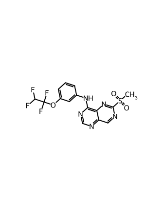 CS(=O)(=O)c1ncc2ncnc(Nc3cccc(OC(F)(F)C(F)F)c3)c2n1